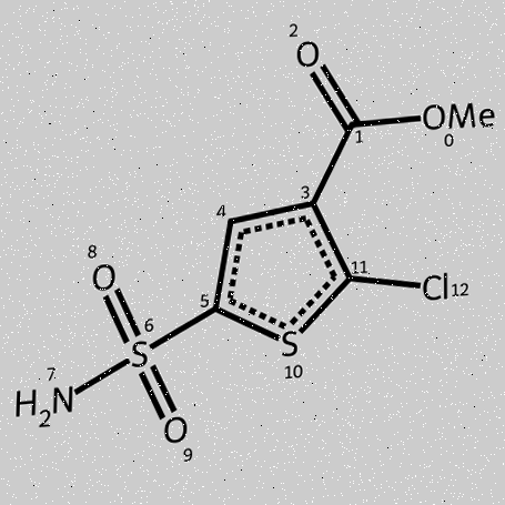 COC(=O)c1cc(S(N)(=O)=O)sc1Cl